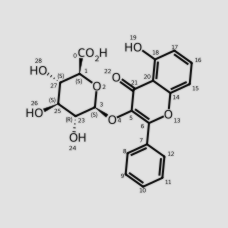 O=C(O)[C@H]1O[C@@H](Oc2c(-c3ccccc3)oc3cccc(O)c3c2=O)[C@H](O)[C@@H](O)[C@@H]1O